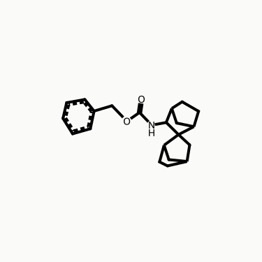 O=C(NC1C2CCC(C2)C12CC1CCC2C1)OCc1ccccc1